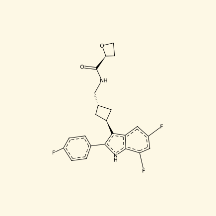 O=C(NC[C@H]1C[C@H](c2c(-c3ccc(F)cc3)[nH]c3c(F)cc(F)cc32)C1)[C@@H]1CCO1